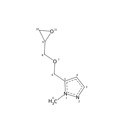 Cn1nccc1COCC1CO1